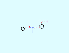 O=C(NCCCOc1cccc(C(=O)O)c1)OCc1ccccc1